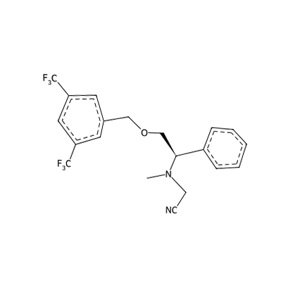 CN(CC#N)[C@@H](COCc1cc(C(F)(F)F)cc(C(F)(F)F)c1)c1ccccc1